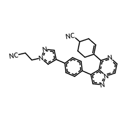 N#CCCn1cc(-c2ccc(-c3cnn4ccnc(C5=CCC(C#N)CC5)c34)cc2)cn1